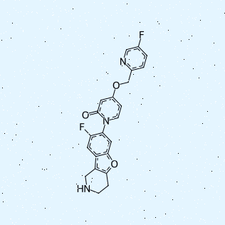 O=c1cc(OCc2ccc(F)cn2)ccn1-c1cc2oc3c(c2cc1F)CNCC3